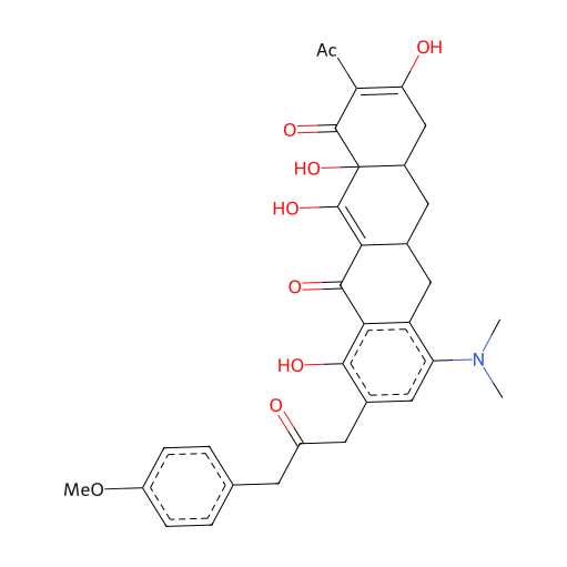 COc1ccc(CC(=O)Cc2cc(N(C)C)c3c(c2O)C(=O)C2=C(O)C4(O)C(=O)C(C(C)=O)=C(O)CC4CC2C3)cc1